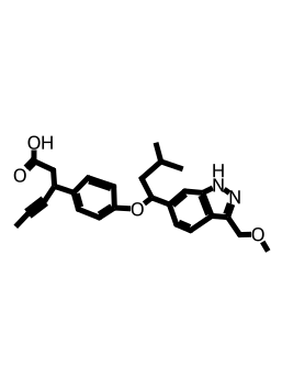 CC#CC(CC(=O)O)c1ccc(OC(CC(C)C)c2ccc3c(COC)n[nH]c3c2)cc1